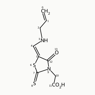 C=CCN/C=C1/SC(=S)N(CC(=O)O)C1=O